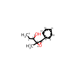 CCC(O)C1(C)OC1c1ccccc1